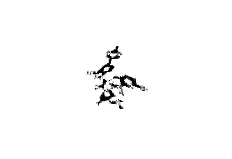 CC(=O)c1nn(CC(=O)N2C3C(C)[C@@]3(CN(C)C)C[C@H]2C(=O)Nc2nc(Br)ccc2C)c2ccc(-c3cnc(C)nc3)cc12